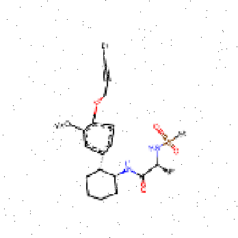 CCC#CCOc1ccc([C@H]2CCCC[C@@H]2NC(=O)[C@@H](NS(=O)(=O)CC)C(C)C)cc1OC